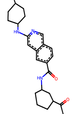 COC(=O)C1CCCC(NC(=O)c2ccc3cnc(NC4CCC(C(C)(C)C)CC4)cc3c2)C1